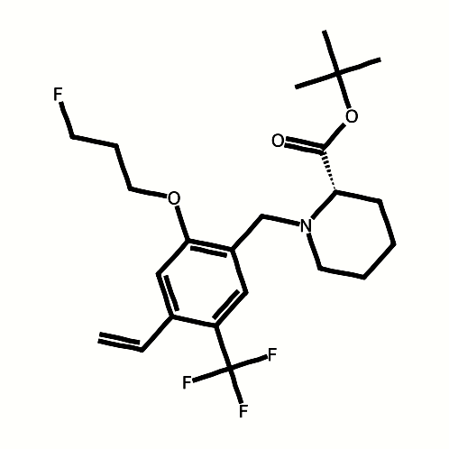 C=Cc1cc(OCCCF)c(CN2CCCC[C@H]2C(=O)OC(C)(C)C)cc1C(F)(F)F